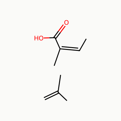 C=C(C)C.CC=C(C)C(=O)O